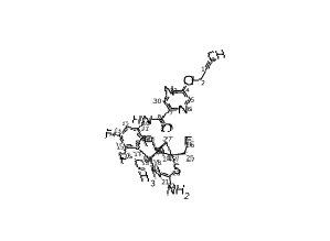 C#CCOc1cnc(C(=O)Nc2cc(F)c(F)c([C@]3(C)N=C(N)S[C@@]4(CF)C[C@H]43)c2)cn1